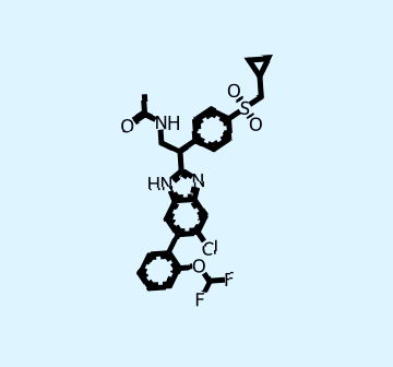 CC(=O)NCC(c1ccc(S(=O)(=O)CC2CC2)cc1)c1nc2cc(Cl)c(-c3ccccc3OC(F)F)cc2[nH]1